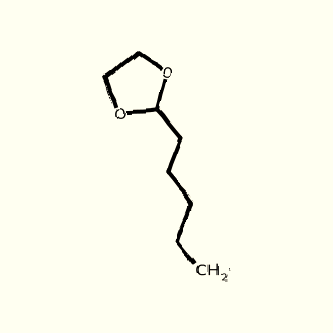 [CH2]CCCCC1OCCO1